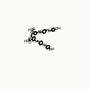 O=S(=O)(O)c1cc(N=Nc2ccc(N=Nc3ccc(O)cc3)cc2)ccc1/C=C\c1ccc(N=Nc2ccc(N=Nc3ccc(O)cc3)cc2)cc1S(=O)(=O)O